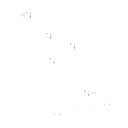 O=C1CC(=O)/C(=C/c2ccnc(N3CCCNCC3)n2)N1